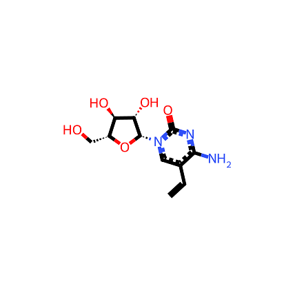 C=Cc1cn([C@@H]2O[C@H](CO)[C@@H](O)[C@@H]2O)c(=O)nc1N